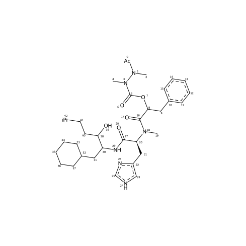 CC(=O)N(C)N(C)C(=O)OC(Cc1ccccc1)C(=O)N(C)[C@@H](Cc1c[nH]cn1)C(=O)NC(CC1CCCCC1)C(O)CCC(C)C